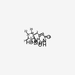 C=C/C=C(\C1=C(C=C)BBN1C1CCC(=O)NC1=O)C(C)CC